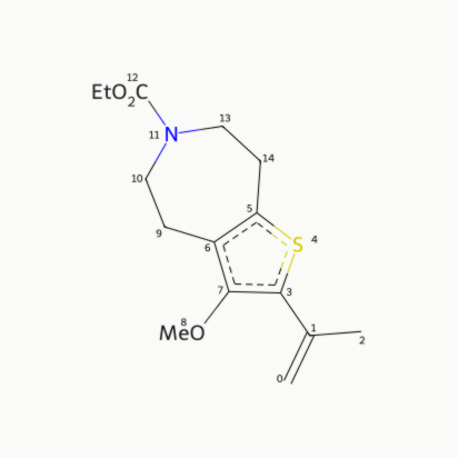 C=C(C)c1sc2c(c1OC)CCN(C(=O)OCC)CC2